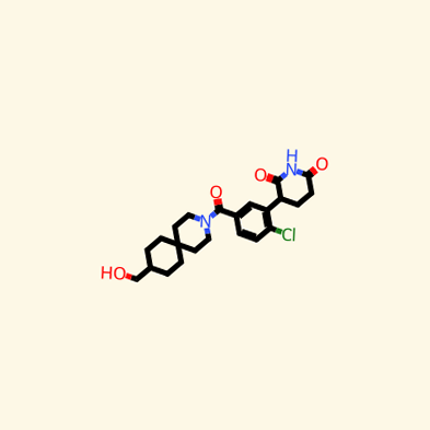 O=C1CCC(c2cc(C(=O)N3CCC4(CCC(CO)CC4)CC3)ccc2Cl)C(=O)N1